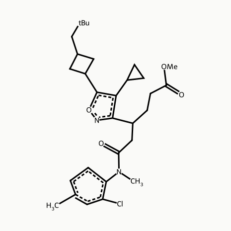 COC(=O)CCC(CC(=O)N(C)c1ccc(C)cc1Cl)c1noc(C2CC(CC(C)(C)C)C2)c1C1CC1